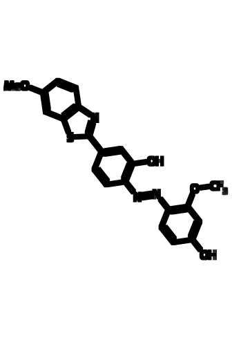 COc1ccc2nc(-c3ccc(/N=N/c4ccc(O)cc4OC(F)(F)F)c(O)c3)sc2c1